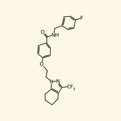 O=C(NCc1ccc(F)cc1)c1ccc(OCCn2nc(C(F)(F)F)c3c2CCCC3)cc1